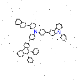 c1ccc(-c2c(-c3ccccc3)c3cc(-c4ccc(N(c5ccc(-c6ccc7c(c6)c6ccccc6n7-c6ccccc6)cc5)c5cccc(-c6ccc7ccccc7c6)c5)cc4)ccc3c3ccccc23)cc1